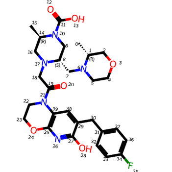 C[C@@H]1COCCN1C[C@H]1CN(C(=O)O)[C@H](C)CN1CC(=O)N1CCOc2nc(O)c(Cc3ccc(F)cc3)cc21